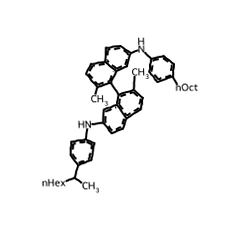 CCCCCCCCc1ccc(Nc2ccc3ccc(C)c(-c4c(C)ccc5ccc(Nc6ccc(C(C)CCCCCC)cc6)cc45)c3c2)cc1